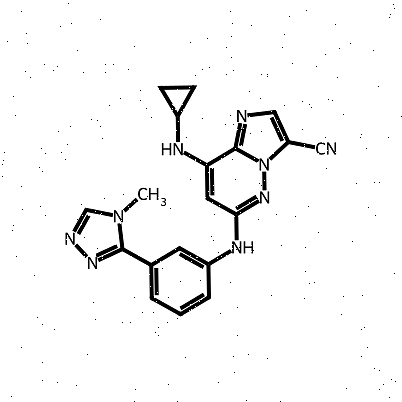 Cn1cnnc1-c1cccc(Nc2cc(NC3CC3)c3ncc(C#N)n3n2)c1